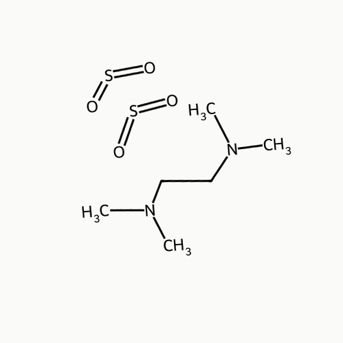 CN(C)CCN(C)C.O=S=O.O=S=O